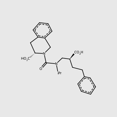 CC(C)N(C[C@H](CCc1ccccc1)C(=O)O)C(=O)N1Cc2ccccc2C[C@H]1C(=O)O